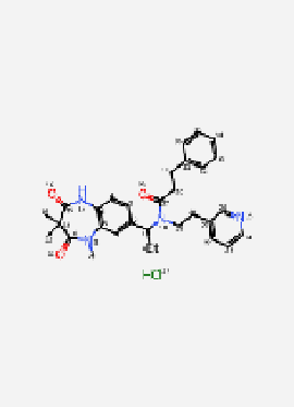 CCC(c1ccc2c(c1)N(C)C(=O)C(C)(C)C(=O)N2)N(CCc1cccnc1)C(=O)CCc1ccccc1.Cl